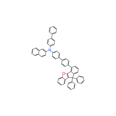 c1ccc(-c2ccc(N(c3ccc(-c4ccc(-c5cccc6c5-c5oc7ccccc7c5C6(c5ccccc5)c5ccccc5)cc4)cc3)c3ccc4ccccc4c3)cc2)cc1